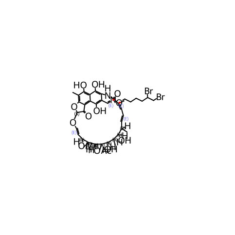 CO[C@H]1/C=C/O[C@@]2(C)Oc3c(C)c(O)c4c(O)c(c(/C=N/OCCCCC(Br)CBr)c(O)c4c3C2=O)NC(=O)/C(C)=C\C=C\[C@H](C)[C@H](O)[C@@H](C)[C@@H](O)[C@@H](C)[C@H](OC(C)=O)[C@@H]1C